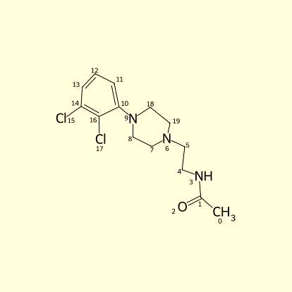 CC(=O)NCCN1CCN(c2cccc(Cl)c2Cl)CC1